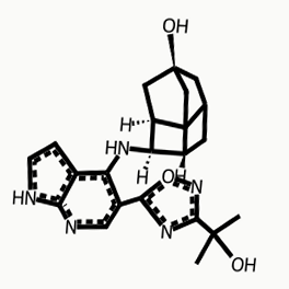 CC(C)(O)c1noc(-c2cnc3[nH]ccc3c2N[C@H]2[C@@H]3CC4C[C@H]2C[C@@](O)(C4)C3)n1